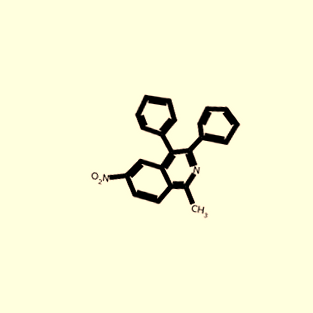 Cc1nc(-c2ccccc2)c(-c2ccccc2)c2cc([N+](=O)[O-])ccc12